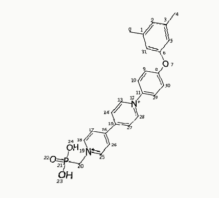 Cc1cc(C)cc(Oc2ccc(-[n+]3ccc(-c4cc[n+](CP(=O)(O)O)cc4)cc3)cc2)c1